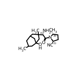 CC1CC2CC(O)(C1)CC(C)([C@H](N)C(=O)N1[C@H](C)CC[C@H]1C#N)C2